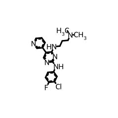 CN(C)CCCNc1nc(Nc2ccc(F)c(Cl)c2)ncc1-c1cccnc1